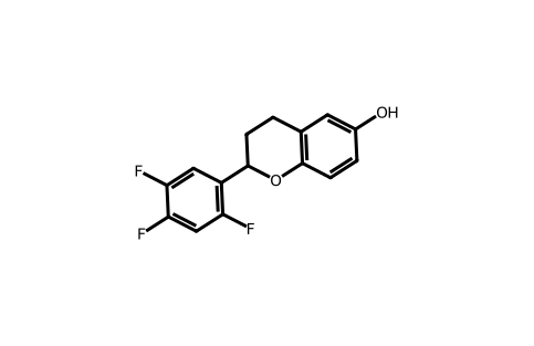 Oc1ccc2c(c1)CCC(c1cc(F)c(F)cc1F)O2